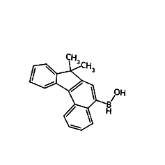 CC1(C)c2ccccc2-c2c1cc(BO)c1ccccc21